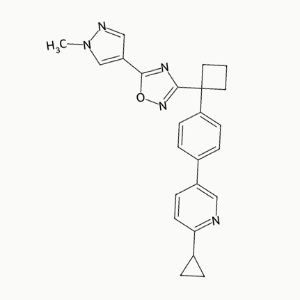 Cn1cc(-c2nc(C3(c4ccc(-c5ccc(C6CC6)nc5)cc4)CCC3)no2)cn1